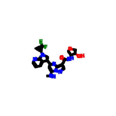 CNc1cc(-c2cn([C@H]3CC3(F)F)c3ncccc23)nc2c(C(=O)N[C@@H]3COC[C@@H]3O)cnn12